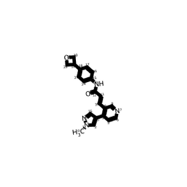 Cn1cc(-c2ccncc2/C=C/C(=O)Nc2ccc(C3COC3)cc2)cn1